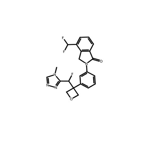 Cn1cnnc1C(F)C1(c2cccc(N3Cc4c(cccc4C(F)F)C3=O)c2)COC1